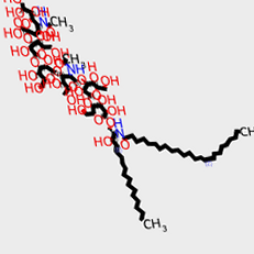 CCCCCCCC/C=C\CCCCCCCCCCCCCC(=O)N[C@@H](CO[C@@H]1OC(CO)[C@@H](O[C@@H]2OC(CO)[C@H](O)[C@H](O[C@@H]3OC(CO)[C@@H](O)[C@H](O[C@@H]4OC(CO)[C@H](O)[C@H](O[C@@H]5OC(CO)[C@H](O)[C@H](O[C@]6(C(=O)O)CC(O)[C@@H](NC(C)=O)C([C@H](O)[C@H](O)CO)O6)C5O)C4O)C3NC(C)=O)C2O)[C@H](O)C1O)[C@H](O)/C=C/CCCCCCCCCCCCC